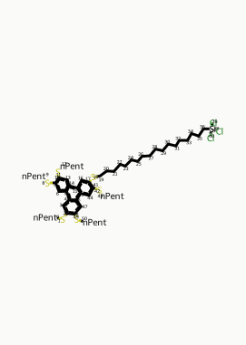 CCCCCSc1cc2c3cc(SCCCCC)c(SCCCCC)cc3c3cc(SCCCCCCCCCCCCCCCCCC[Si](Cl)(Cl)Cl)c(SCCCCC)cc3c2cc1SCCCCC